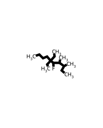 CCCCC(CC)(CC)C(F)C(C)C(C)CC